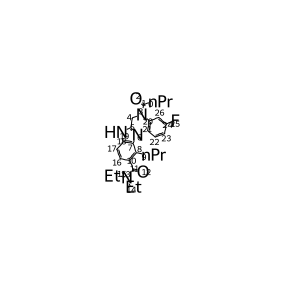 CCCC(=O)N(Cc1nc2c(CCC)c(C(=O)N(CC)CC)ccc2[nH]1)c1cccc(F)c1